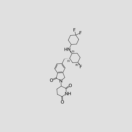 O=C1CCC(N2Cc3cc(C[C@H]4C[C@H](F)CC[C@@H]4NC4CCC(F)(F)CC4)ccc3C2=O)C(=O)N1